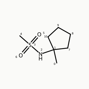 CC1(NS(C)(=O)=O)CCCC1